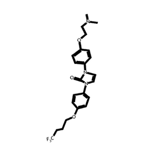 CN(C)CCOc1ccc(-n2ccn(-c3ccc(OCCCC(F)(F)F)cc3)c2=O)cc1